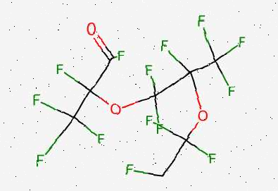 O=C(F)C(F)(OC(F)(F)C(F)(OC(F)(F)CF)C(F)(F)F)C(F)(F)F